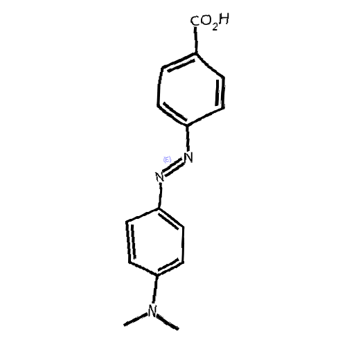 CN(C)c1ccc(/N=N/c2ccc(C(=O)O)cc2)cc1